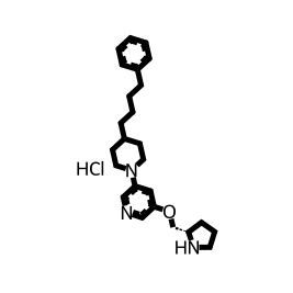 Cl.c1ccc(CCCCC2CCN(c3cncc(OC[C@@H]4CCCN4)c3)CC2)cc1